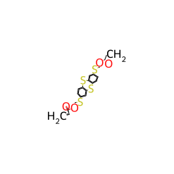 C=CC(=O)OCSc1ccc2c(c1)Sc1ccc(SCOC(=O)C=C)cc1S2